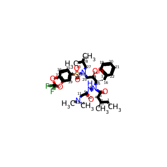 CC[C@H](C)CC(=O)N(NC(=O)CN(C)C)[C@@H](Cc1ccccc1)[C@H](O)CN(CC(C)C)S(=O)(=O)c1ccc2c(c1)OC(F)(F)O2